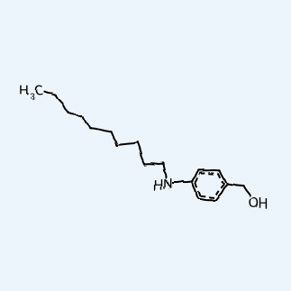 CCCCCCCCCCNc1ccc(CO)cc1